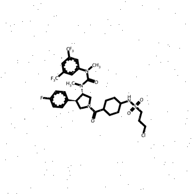 CN(C(=O)N(C)[C@@H]1CN(C(=O)C2CCC(NS(=O)(=O)CCCCl)CC2)C[C@H]1c1ccc(F)cc1)c1cc(C(F)(F)F)cc(C(F)(F)F)c1